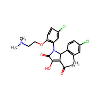 Cc1cc(Cl)ccc1C1C(C(=O)C(C)C)=C(O)C(=O)N1c1cc(Cl)ccc1OCCN(C)C